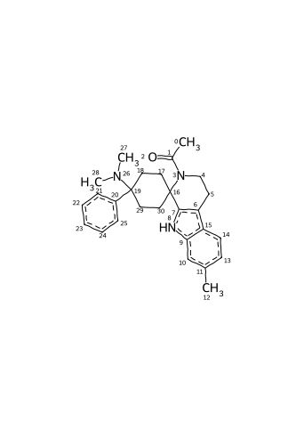 CC(=O)N1CCc2c([nH]c3cc(C)ccc23)C12CCC(c1ccccc1)(N(C)C)CC2